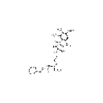 COc1cc(C)c(S(=O)(=O)NC(=N)NCCC[C@H](NC(=O)OCc2ccccc2)C(=O)O)c(C)c1C